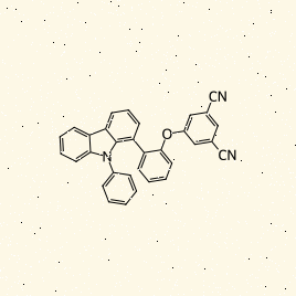 N#Cc1cc(C#N)cc(Oc2ccccc2-c2cccc3c4ccccc4n(-c4ccccc4)c23)c1